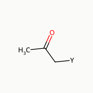 CC(=O)[CH2][Y]